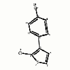 Clc1sccc1-c1ccc(Br)cc1